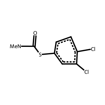 CNC(=O)Sc1ccc(Cl)c(Cl)c1